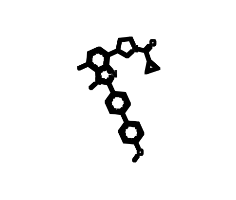 COc1ccc(-c2ccc(-c3nc4c(C5CCN(C(=O)C6CC6)C5)ccc(C)c4n3C)cc2)cc1